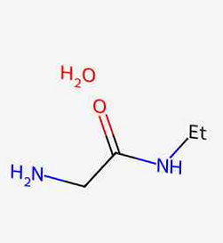 CCNC(=O)CN.O